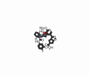 COc1ncc(C2=NOC3CC(C(O)C(F)(F)F)CC23)cc1C(=O)N[C@H]1[C@@H](C(=O)Nc2ccc(F)c(C(F)(F)F)c2)[C@H]2CC[C@@H]1/C2=C\C1CCC1